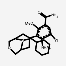 COc1c(C(N)=O)cc(Cl)c(NC(C)=O)c1C1CC2COCC(C1)N2CC1CCCCC1